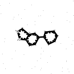 c1ccc(-c2ccc3oncc3c2)cc1